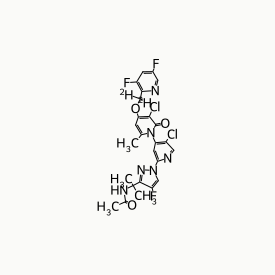 [2H]C([2H])(Oc1cc(C)n(-c2cc(-n3cc(F)c(C(C)(C)NC(C)=O)n3)ncc2Cl)c(=O)c1Cl)c1ncc(F)cc1F